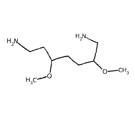 COC(CN)CCC(CCN)OC